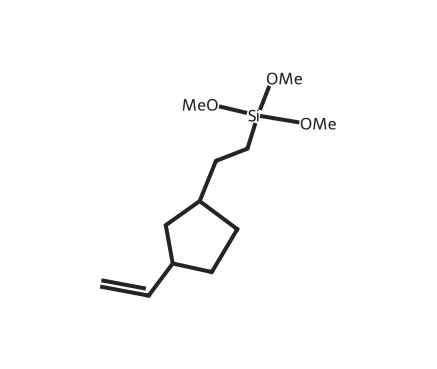 C=CC1CCC(CC[Si](OC)(OC)OC)C1